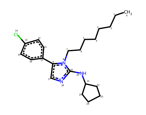 CCCCCCCCn1c(-c2ccc(Cl)cc2)cnc1NC1CCCC1